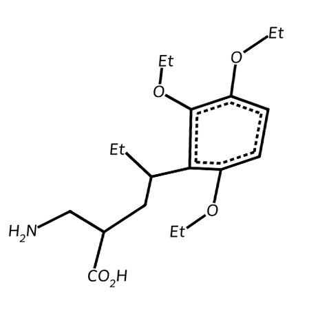 CCOc1ccc(OCC)c(C(CC)CC(CN)C(=O)O)c1OCC